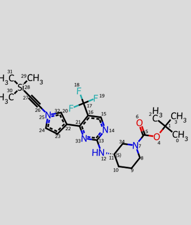 CC(C)(C)OC(=O)N1CCC[C@H](Nc2ncc(C(F)(F)F)c(-c3ccn(C#C[Si](C)(C)C)c3)n2)C1